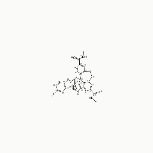 CNC(=O)c1ccc2c(c1)CCc1cc(C(=O)NC)ccc1C2(C[C@H](N)Cc1ccc(F)cc1)c1nnn[nH]1